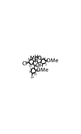 COc1ccc(CNc2ccc(Cl)cc2C(O)c2ccc(C)cc2OC)c(OC)c1